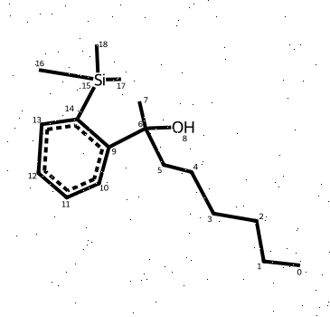 CCCCCCC(C)(O)c1ccccc1[Si](C)(C)C